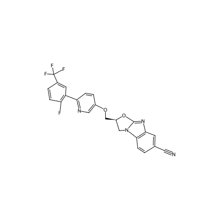 N#Cc1ccc2c(c1)nc1n2C[C@@H](COc2ccc(-c3cc(C(F)(F)F)ccc3F)nc2)O1